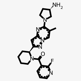 Cc1cn2nc([C@@H]3CCCCN3C(=O)c3cccnc3F)cc2nc1N1CC[C@H](N)C1